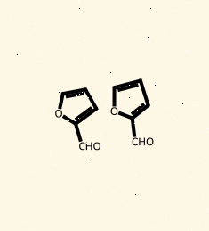 O=Cc1ccco1.O=Cc1ccco1